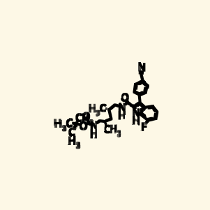 CC(CNC(=O)OC(C)(C)C)C[C@H](C)CNC(=O)c1[nH]c2c(F)cccc2c1-c1ccc(C#N)cc1